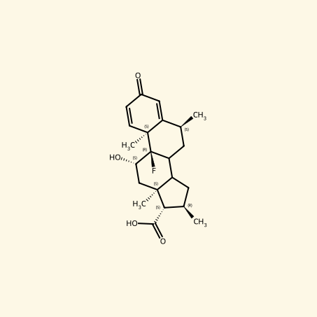 C[C@@H]1CC2C3C[C@H](C)C4=CC(=O)C=C[C@]4(C)[C@@]3(F)[C@@H](O)C[C@]2(C)[C@H]1C(=O)O